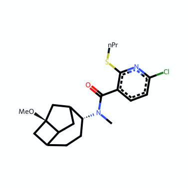 CCCSc1nc(Cl)ccc1C(=O)N(C)[C@@H]1CCC2C[C@]3(OC)CC1CC23